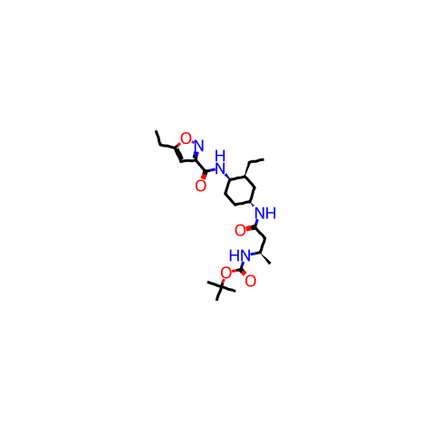 CCc1cc(C(=O)N[C@@H]2CC[C@@H](NC(=O)C[C@@H](C)NC(=O)OC(C)(C)C)C[C@@H]2CC)no1